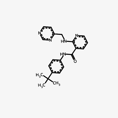 CC(C)(C)c1ccc(NC(=O)c2cccnc2NCc2ccncn2)cc1